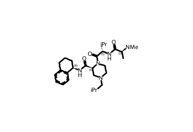 CN[C@@H](C)C(=O)N[C@H](C(=O)N1CCN(CC(C)C)C[C@H]1C(=O)N[C@@H]1CCCc2ccccc21)C(C)C